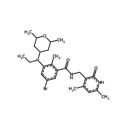 CCN(c1cc(Br)cc(C(=O)NCc2c(C)cc(C)[nH]c2=O)c1C)C1CC(C)OC(C)C1